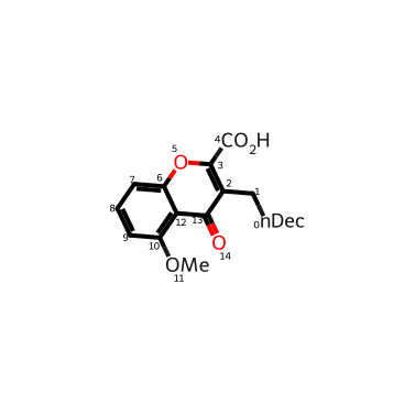 CCCCCCCCCCCc1c(C(=O)O)oc2cccc(OC)c2c1=O